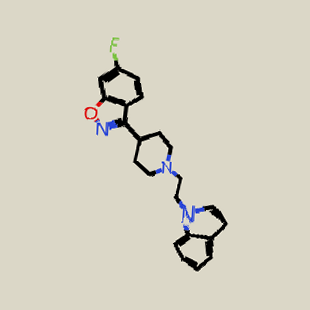 Fc1ccc2c(C3CCN(CCn4ccc5ccccc54)CC3)noc2c1